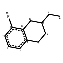 CCC1CCc2cccc(F)c2C1